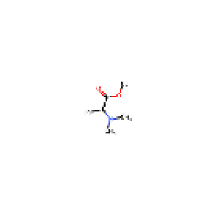 CCOC(=O)[C@H](C(C)C)N(C)C